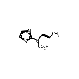 CC=CN(C(=O)O)c1nccs1